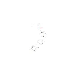 CC(=O)NC(CC(C)C)C(=O)Nc1cccc(-c2ccc(Oc3ccc(F)cc3)cc2)n1